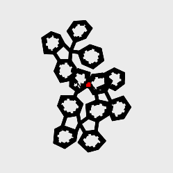 c1ccc(-c2cccc(N(c3ccc4c(c3)C(c3ccccc3)(c3ccccc3)c3ccccc3-4)c3ccc4c(c3)C3(c5ccccc5-c5ccc(N(c6ccccc6)c6ccccc6)cc53)c3ccccc3-4)c2)cc1